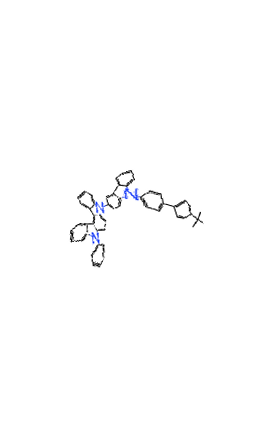 CC(C)(C)c1ccc(-c2ccc(-n3c4ccccc4c4cc(-n5c6ccccc6c6c7c8ccccc8n(-c8ccccc8)c7ccc65)ccc43)cc2)cc1